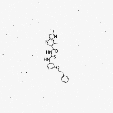 Cc1cc2ncc(C(=O)NC(=S)Nc3cccc(OCCc4ccccc4)c3)c(C)n2n1